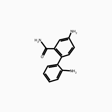 NC(=O)c1cc(N)ccc1-c1ccccc1N